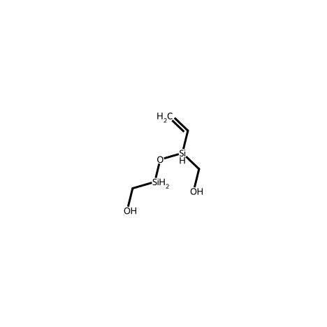 C=C[SiH](CO)O[SiH2]CO